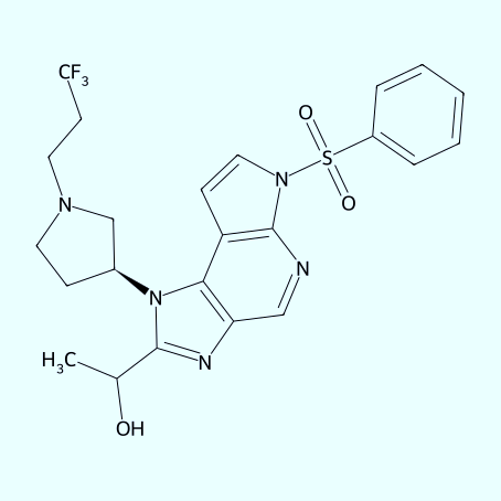 CC(O)c1nc2cnc3c(ccn3S(=O)(=O)c3ccccc3)c2n1[C@H]1CCN(CCC(F)(F)F)C1